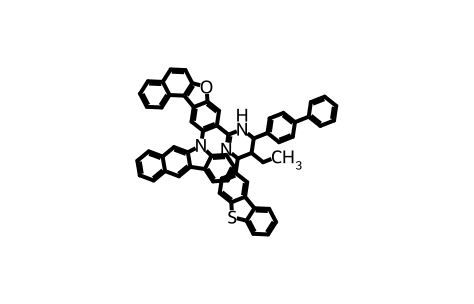 CCC1C(c2ccc3sc4ccccc4c3c2)N=C(c2cc3oc4ccc5ccccc5c4c3cc2-n2c3ccccc3c3cc4ccccc4cc32)NC1c1ccc(-c2ccccc2)cc1